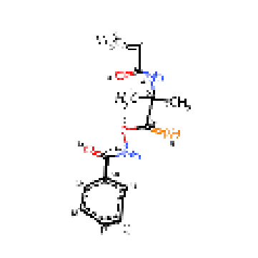 C=CC(=O)NC(C)(C)C(=P)ONC(=O)c1ccccc1